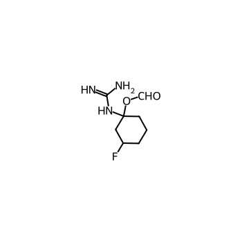 N=C(N)NC1(OC=O)CCCC(F)C1